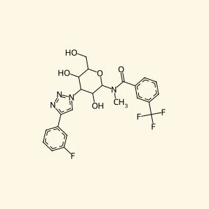 CN(C(=O)c1cccc(C(F)(F)F)c1)C1OC(CO)C(O)C(n2cc(-c3cccc(F)c3)nn2)C1O